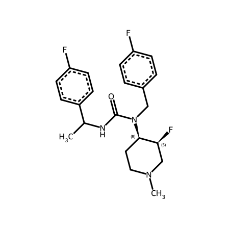 CC(NC(=O)N(Cc1ccc(F)cc1)[C@@H]1CCN(C)C[C@@H]1F)c1ccc(F)cc1